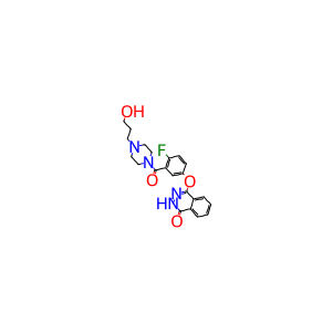 O=C(c1cc(Oc2n[nH]c(=O)c3ccccc23)ccc1F)N1CCN(CCCO)CC1